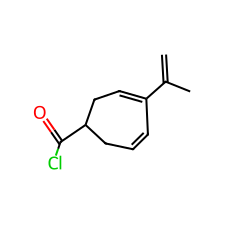 C=C(C)C1=CCC(C(=O)Cl)CC=C1